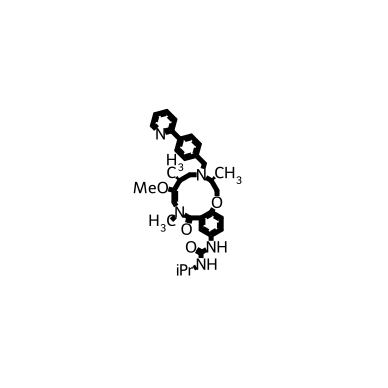 CO/C1=C/N(C)C(=O)c2cc(NC(=O)NC(C)C)ccc2OC[C@H](C)N(Cc2ccc(-c3ccccn3)cc2)C[C@@H]1C